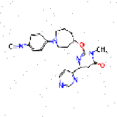 [C-]#[N+]c1ccc(N2CCCC(Oc3nc(-c4ccncn4)cc(=O)n3C)CC2)cc1